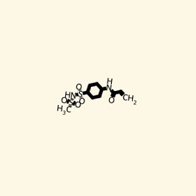 C=CC(=O)NC1CCC(S(=O)(=O)NS(C)(=O)=O)CC1